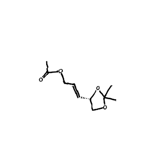 CC(=O)OC/C=C/[C@H]1COC(C)(C)O1